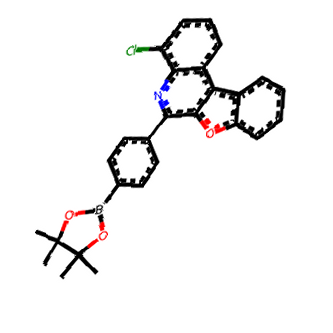 CC1(C)OB(c2ccc(-c3nc4c(Cl)cccc4c4c3oc3ccccc34)cc2)OC1(C)C